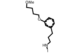 COCCCCOc1cccc(CCCNI)c1